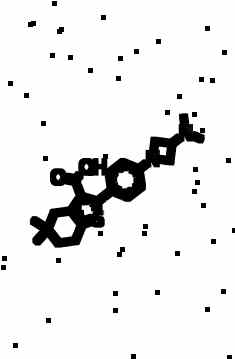 CN(C)C1CN(c2ccc(-c3sc4c(c3C(=O)O)CC(C)(C)CC4)cc2)C1